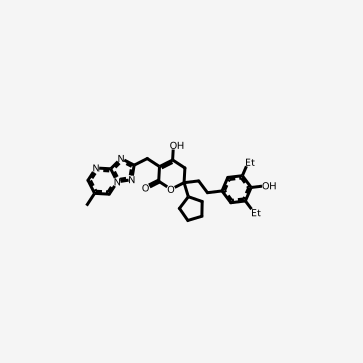 CCc1cc(CCC2(C3CCCC3)CC(O)=C(Cc3nc4ncc(C)cn4n3)C(=O)O2)cc(CC)c1O